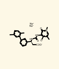 Cc1ccc(C)c(-c2cccc([C@H](CC(=O)[O-])NC(=O)Nc3c([O-])c(C)cn(C)c3=O)c2)c1.[Na+].[Na+]